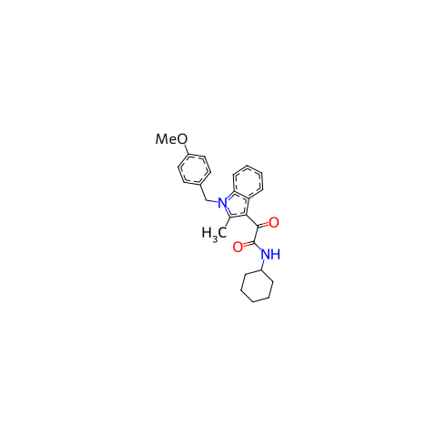 COc1ccc(Cn2c(C)c(C(=O)C(=O)NC3CCCCC3)c3ccccc32)cc1